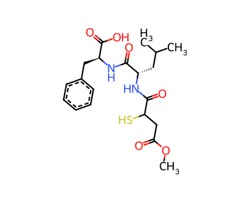 COC(=O)CC(S)C(=O)N[C@@H](CC(C)C)C(=O)N[C@@H](Cc1ccccc1)C(=O)O